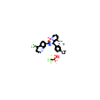 O=C(NC(c1ccc(C(F)(F)F)cc1)c1ncccc1C(F)(F)F)c1ccc2c(Cl)ccnc2c1.O=C(O)C(F)(F)F